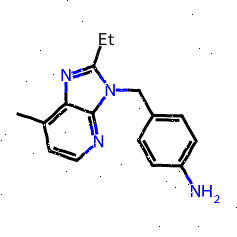 CCc1nc2c(C)ccnc2n1Cc1ccc(N)cc1